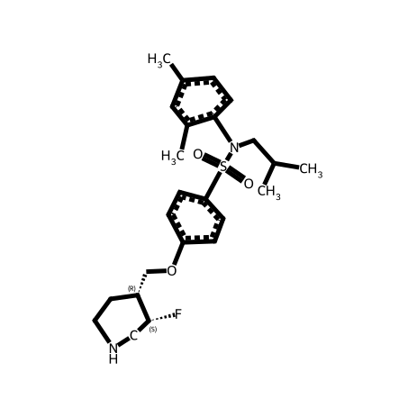 Cc1ccc(N(CC(C)C)S(=O)(=O)c2ccc(OC[C@H]3CCNC[C@H]3F)cc2)c(C)c1